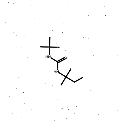 CCC(C)(C)NC(=S)NC(C)(C)C